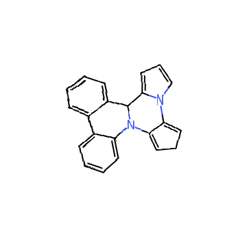 C1=C2C(=CC1)n1cccc1C1c3ccccc3-c3ccccc3N21